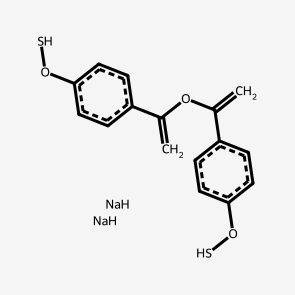 C=C(OC(=C)c1ccc(OS)cc1)c1ccc(OS)cc1.[NaH].[NaH]